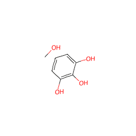 CO.Oc1cccc(O)c1O